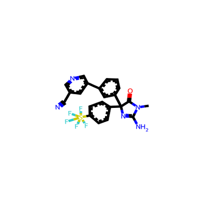 CN1C(=O)C(c2ccc(S(F)(F)(F)(F)F)cc2)(c2cccc(-c3cncc(C#N)c3)c2)N=C1N